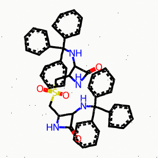 O=C1NC(CS(=O)(=O)CC2NC(=O)C2NC(c2ccccc2)(c2ccccc2)c2ccccc2)C1NC(c1ccccc1)(c1ccccc1)c1ccccc1